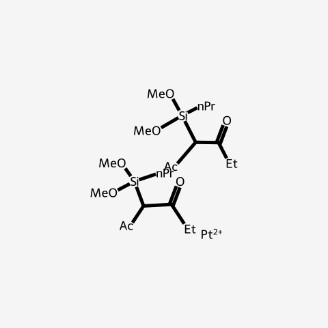 CCC[Si](OC)(OC)C(C(C)=O)C(=O)CC.CCC[Si](OC)(OC)C(C(C)=O)C(=O)CC.[Pt+2]